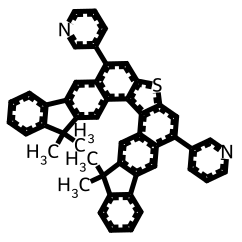 CC1(C)c2ccccc2-c2cc3c(-c4cccnc4)cc4sc5cc(-c6cccnc6)c6cc7c(cc6c5c4c3cc21)C(C)(C)c1ccccc1-7